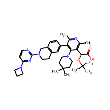 Cc1nc(C)c([C@H](OC(C)(C)C)C(=O)O)c(N2CCC(C)(C)CC2)c1-c1ccc2c(c1)CCN(c1nccc(N3CCC3)n1)C2